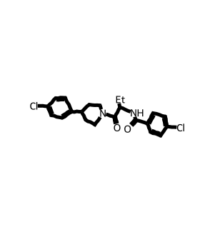 CCC(NC(=O)c1ccc(Cl)cc1)C(=O)N1CCC(c2ccc(Cl)cc2)CC1